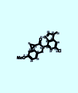 COc1ccc(CN(C(=O)C2CC2)c2nc(Cl)cc3c2ncn3C)cc1